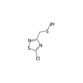 CC(C)SCc1nsc(Cl)n1